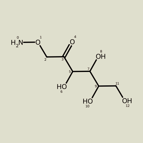 NOCC(=O)C(O)C(O)C(O)CO